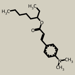 CCCCCC(CC)OC(=O)/C=C/c1ccc(N(C)C)cc1